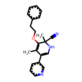 CC1=C(OCCc2ccccc2)C(C)(C#N)NC=C1c1cccnc1